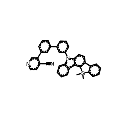 C[Si]1(C)c2ccccc2-c2ccc3c(c21)c1ccccc1n3-c1cccc(-c2cccc(-c3cnccc3C#N)c2)c1